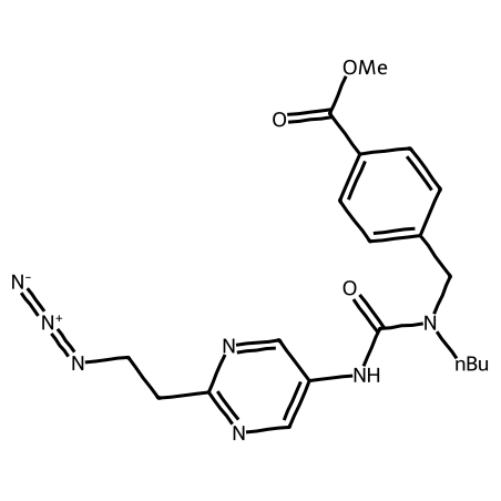 CCCCN(Cc1ccc(C(=O)OC)cc1)C(=O)Nc1cnc(CCN=[N+]=[N-])nc1